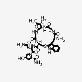 CC[C@H](C)[C@@H]1NC(=O)CNC(=O)[C@H](N)Cc2c([nH]c3ccccc23)SC[C@@H](C(=O)N[C@@H](CC(N)=O)C(=O)N2C[C@H](O)C[C@H]2C(N)=O)NC(=O)CNC1=O